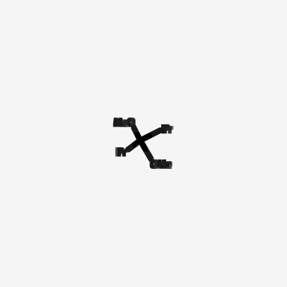 COC(OC)(C(C)C)C(C)C